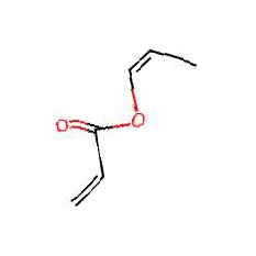 C=CC(=O)O/C=C\C